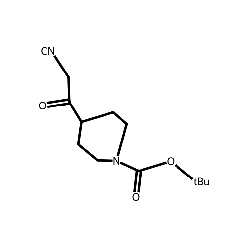 [C-]#[N+]CC(=O)C1CCN(C(=O)OC(C)(C)C)CC1